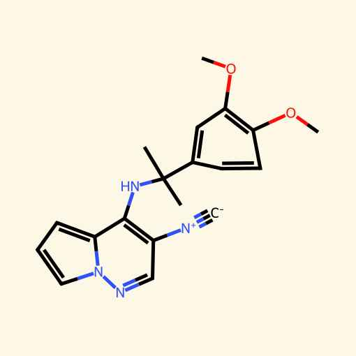 [C-]#[N+]c1cnn2cccc2c1NC(C)(C)c1ccc(OC)c(OC)c1